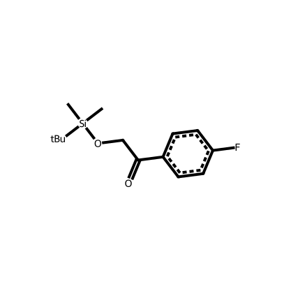 CC(C)(C)[Si](C)(C)OCC(=O)c1ccc(F)cc1